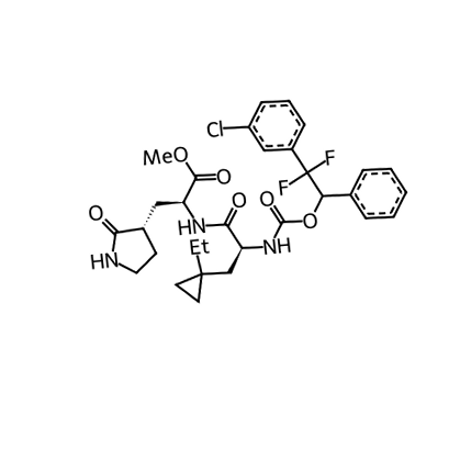 CCC1(C[C@H](NC(=O)OC(c2ccccc2)C(F)(F)c2cccc(Cl)c2)C(=O)N[C@@H](C[C@@H]2CCNC2=O)C(=O)OC)CC1